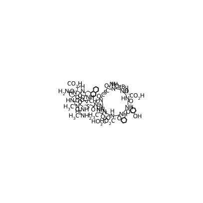 C[C@H](N)C(=O)N[C@@H](CSCC(=O)N1CCN2CN(C1)NN(C(=O)[C@@H](C)N)[C@@H](CCC(=O)O)C(=O)N[C@@H](CC(=O)O)C(=O)N[C@@H](Cc1ccccc1)C(=O)N[C@@H](Cc1ccc(O)cc1)C(=O)N[C@@H](CC(=O)O)C(=O)N[C@@H](C(C)(C)C)C(=O)N[C@H](C(N)=O)CSCC2=O)C(=O)N[C@H](C)C(=O)N[C@@H](CC(N)=O)C(=O)N[C@@H](CCC(=O)O)C(=O)N[C@@H](Cc1cccc2ccccc12)C(=O)N[C@]1(C)CC1=O